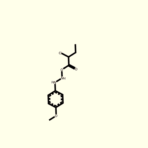 CCC(Cl)C(=O)ONNc1ccc(OC)cc1